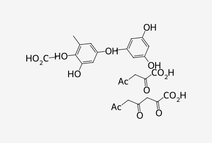 CC(=O)CC(=O)C(=O)O.CC(=O)CC(=O)CC(=O)C(=O)O.CC(=O)O.Cc1cc(O)cc(O)c1.Cc1cc(O)cc(O)c1O